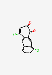 O=C1C=C(Cl)c2cc3cccc(Cl)c3cc2C1=O